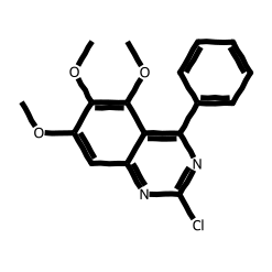 COc1cc2nc(Cl)nc(-c3ccccc3)c2c(OC)c1OC